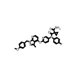 COc1ccc(Cn2nc(C)c3c(Oc4ccc(N(C(=O)C5(C(N)=O)CC5)c5ccc(F)cc5)cn4)ccnc32)cc1